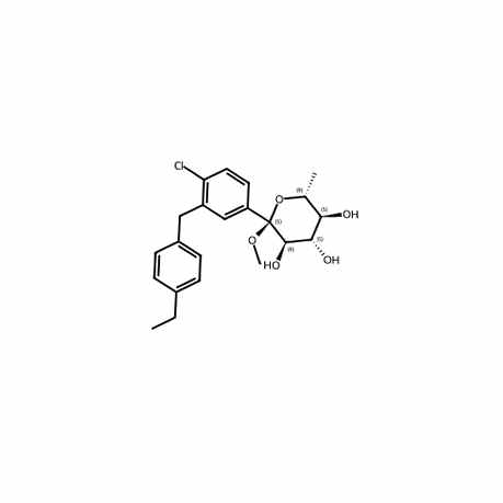 CCc1ccc(Cc2cc([C@]3(OC)O[C@H](C)[C@@H](O)[C@H](O)[C@H]3O)ccc2Cl)cc1